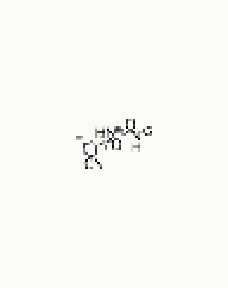 C[C@H](CC(=O)NC1CCC1)NC(=O)C(C)(C)c1cc(F)cc(C#N)c1